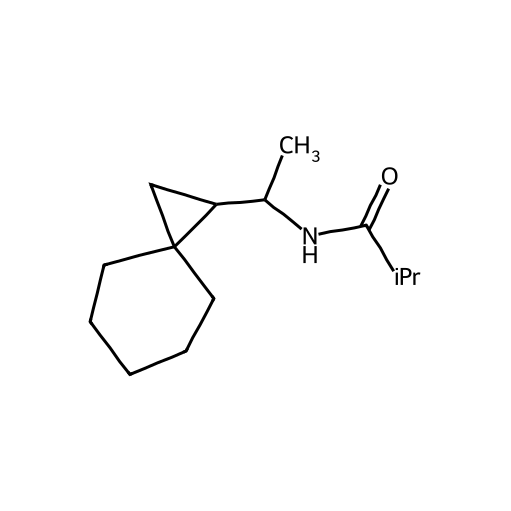 CC(C)C(=O)NC(C)C1CC12CCCCC2